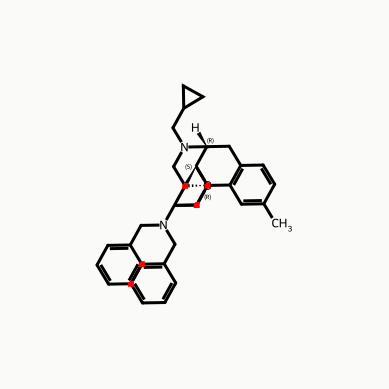 Cc1ccc2c(c1)[C@]13CCN(CC4CC4)[C@H](C2)[C@]12CCC(N(Cc1ccccc1)Cc1ccccc1)(CO2)C3